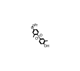 CCCOc1ccc(S(=O)(=O)c2ccc(O)c(C)c2)c(C)c1